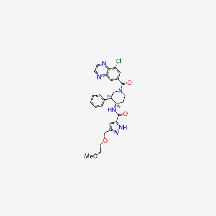 COCCOCc1cc(C(=O)N[C@@H]2CCN(C(=O)c3cc(Cl)c4nccnc4c3)C[C@@H]2c2ccccc2)[nH]n1